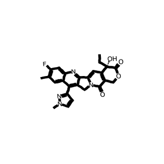 CC[C@@]1(O)C(=O)OCc2c1cc1n(c2=O)Cc2c-1nc1cc(F)c(C)cc1c2-c1ccn(C)n1